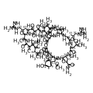 COC(c1ccc(O)cc1)C1NC(=O)[C@H](CCC(N)=O)N(C)C(=O)[C@H](CC(C)C)NC(=O)[C@@H](CCCNC(=N)N)NC(=O)[C@H](C(C)O)NC(=O)[C@@H](NC(=O)[C@@H](NC(=O)[C@H](O)[C@H](O)[C@H](CCCNC(=N)N)NC(=O)[C@H](C)NC(=O)[C@H](C)[C@H](O)[C@@H](C)CC(C)C)[C@@H](C)[C@@H](C)C(N)=O)[C@@H](C)OC(=O)[C@H](C)N(C)C1=O